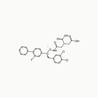 C[C@H](NC(=O)CC(CC(=O)O)C(=O)O)[C@@H](Cc1ccc(Cl)c(Cl)c1)c1ccc(-c2ccccc2)c(F)c1